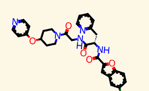 O=C(N[C@@H](Cc1ccccn1)C(=O)NCC(=O)N1CCC(Oc2ccncc2)CC1)c1cc2cc(Cl)ccc2o1